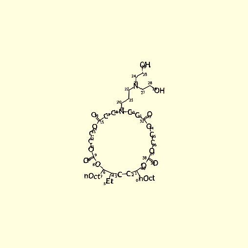 CCCCCCCCC1CCC(CC)C(CCCCCCCC)OC(=O)OCCOC(=O)CCN(CCCN(CCO)CCO)CCC(=O)OCCOC(=O)O1